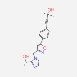 C[C@H](O)c1nccn1Cc1cc(-c2ccc(C#CC(C)(C)O)cc2)on1